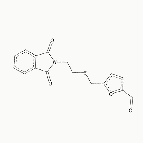 O=Cc1ccc(CSCCN2C(=O)c3ccccc3C2=O)o1